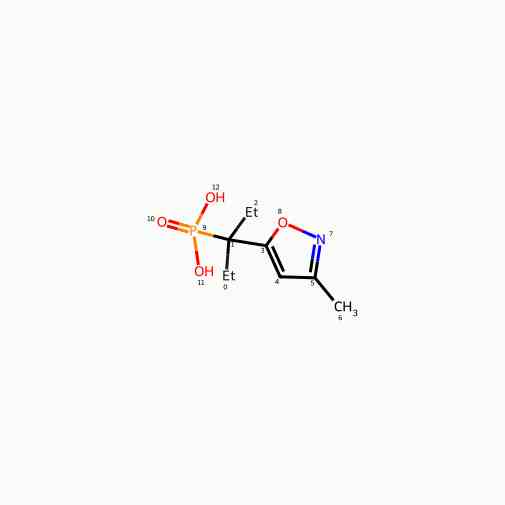 CCC(CC)(c1cc(C)no1)P(=O)(O)O